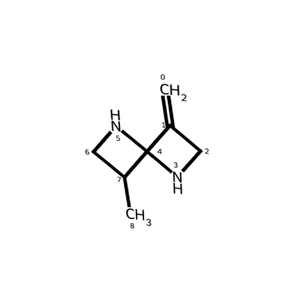 C=C1CNC12NCC2C